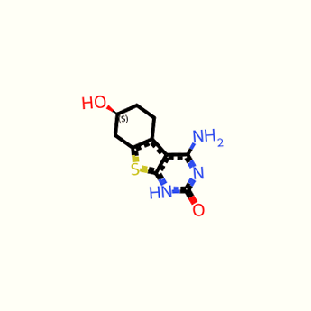 Nc1nc(=O)[nH]c2sc3c(c12)CC[C@H](O)C3